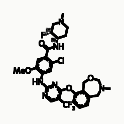 COc1cc(C(=O)N[C@H]2CCN(C)C[C@H]2F)c(Cl)cc1Nc1ncc(C(F)(F)F)c(Oc2cccc3c2COCN(C)C3)n1